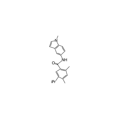 Cc1cc(C)c(C(C)C)cc1C(=O)Nc1ccc2c(ccn2C)c1